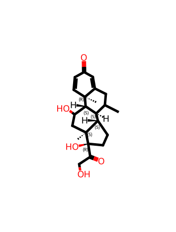 CC1CC2=CC(=O)C=C[C@]2(C)[C@H]2C(O)C[C@@]3(C)[C@@H](CC[C@]3(O)C(=O)CO)[C@H]12